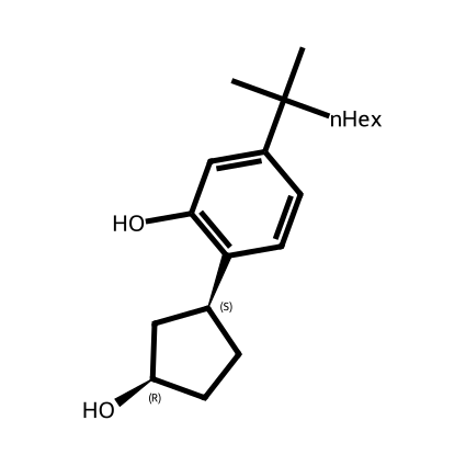 CCCCCCC(C)(C)c1ccc([C@H]2CC[C@@H](O)C2)c(O)c1